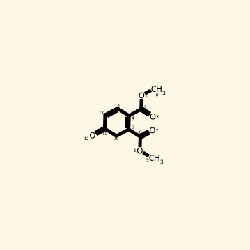 COC(=O)C1=C(C(=O)OC)CC(=O)C=C1